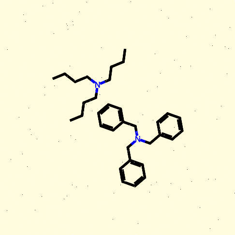 CCCCN(CCCC)CCCC.c1ccc(CN(Cc2ccccc2)Cc2ccccc2)cc1